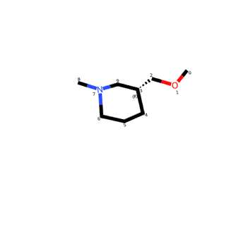 COC[C@@H]1CCCN(C)C1